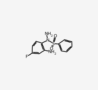 Nc1cc(F)ccc1N(N)S(=O)(=O)c1ccccc1